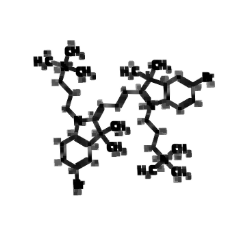 CC1(C)C(/C=C/C=C2/N(CCC[N+](C)(C)C)c3ccc(Br)cc3C2(C)C)=[N+](CCC[N+](C)(C)C)c2ccc(Br)cc21